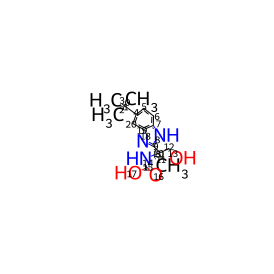 CC(C)(C)c1ccc2[nH]c([C@@](C)(CO)NC(=O)O)nc2c1